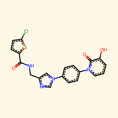 O=C(NCc1cn(-c2ccc(-n3cccc(O)c3=O)cc2)cn1)c1ccc(Cl)s1